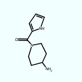 NC1CCN(C(=O)c2ccc[nH]2)CC1